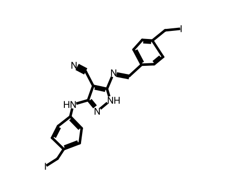 N#Cc1c(Nc2ccc(CI)cc2)n[nH]c1/N=C/c1ccc(CI)cc1